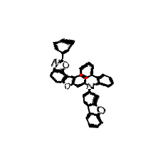 c1ccc(-c2nc3ccc4oc5cc(N(c6ccc7c(c6)oc6ccccc67)c6ccccc6-c6ccccc6)ccc5c4c3o2)cc1